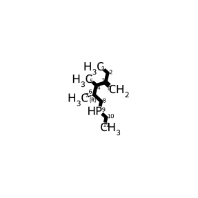 C=C(CC)C(C)[C@@H](C)CPCC